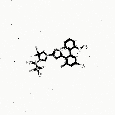 C=[N+]([C@@H]1CN(C2=NOC(c3c(F)cc(C)cc3-c3c(F)cccc3OC)C2)CC1(F)F)S(C)(=O)=O